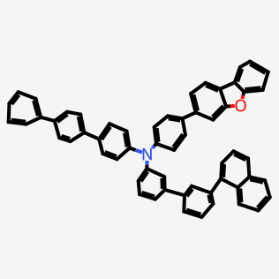 c1ccc(-c2ccc(-c3ccc(N(c4ccc(-c5ccc6c(c5)oc5ccccc56)cc4)c4cccc(-c5cccc(-c6cccc7ccccc67)c5)c4)cc3)cc2)cc1